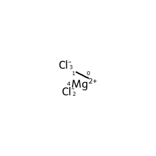 CC.[Cl-].[Cl-].[Mg+2]